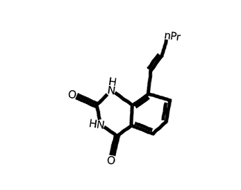 CCCC=Cc1cccc2c(=O)[nH]c(=O)[nH]c12